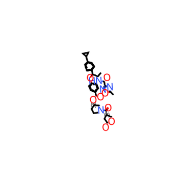 Cc1nc(C(=O)NC(C)C(Oc2ccc(C(=O)O[C@H]3CCCN(C(=O)[C@H]4COC(=O)C4)C3)cc2)c2ccc(C3CC3)cc2)no1